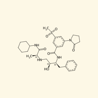 C[C@H](NC[C@H](O)[C@H](Cc1ccccc1)NC(=O)c1cc(N2CCCC2=O)cc(S(C)(=O)=O)c1)C(=O)NC1CCCCC1